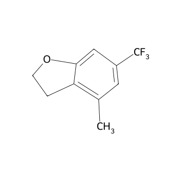 Cc1cc(C(F)(F)F)cc2c1CCO2